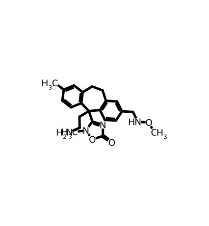 CONCc1ccc2c(c1)CCc1cc(C)ccc1C2(CCN)c1nc(=O)on1C